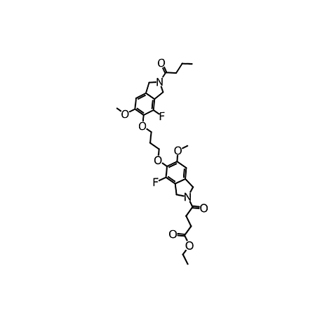 CCCC(=O)N1Cc2cc(OC)c(OCCCOc3c(OC)cc4c(c3F)CN(C(=O)CCC(=O)OCC)C4)c(F)c2C1